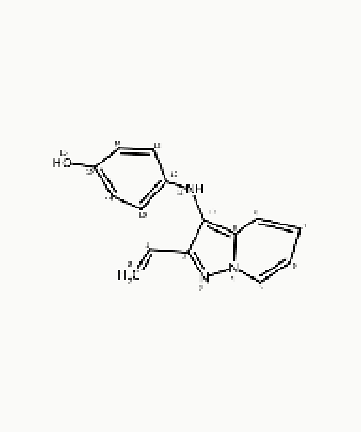 C=Cc1nn2ccccc2c1Nc1ccc(O)cc1